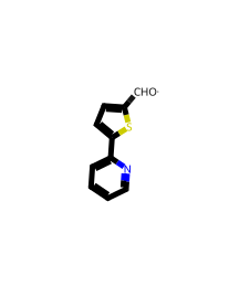 O=[C]c1ccc(-c2ccccn2)s1